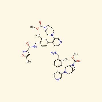 Cc1cc(-c2ccncc2N2CC3CC(C2)N(C(=O)OC(C)(C)C)C3)ccc1CN.Cc1cc(-c2ccncc2N2CC3CC(C2)N(C(=O)OC(C)(C)C)C3)ccc1CNC(=O)c1cc(C(C)(C)C)on1